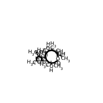 CC[C@H]1OC(=O)[C@H](C)[C@@H](O)[C@H](C)[C@@H](O[C@H]2C[C@@H](N(C)C)C[C@@H](C)O2)C(C)(O)C[C@@H](C)[C@H](O)[C@H](C)C[C@]1(C)O